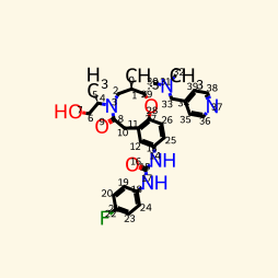 C[C@@H]1CN([C@@H](C)CO)C(=O)Cc2cc(NC(=O)Nc3ccc(F)cc3)ccc2O[C@H]1CN(C)Cc1ccncc1